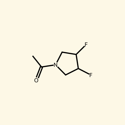 CC(=O)N1CC(F)C(F)C1